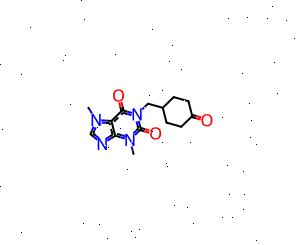 Cn1cnc2c1c(=O)n(CC1CCC(=O)CC1)c(=O)n2C